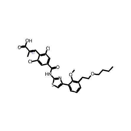 CCCCOCCc1cccc(-c2csc(NC(=O)c3cc(Cl)c(/C=C(\C)C(=O)O)c(Cl)c3)n2)c1OC